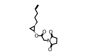 C=CCCC[C@@H]1C[C@H]1OC(=O)CN1C(=O)CCC1=O